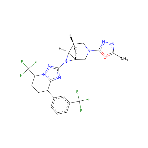 Cc1nnc(N2C[C@@H]3CC[C@]4(C2)[C@H]3N4c2nc3n(n2)C(C(F)(F)F)CCC3c2cccc(C(F)(F)F)c2)o1